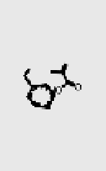 C=C(C)C(=O)O.CCc1ccccc1